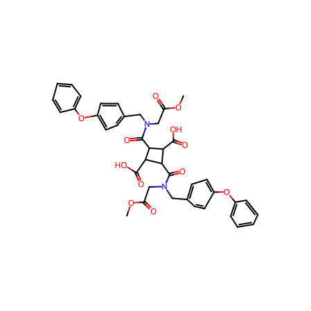 COC(=O)CN(Cc1ccc(Oc2ccccc2)cc1)C(=O)C1C(C(=O)O)C(C(=O)N(CC(=O)OC)Cc2ccc(Oc3ccccc3)cc2)C1C(=O)O